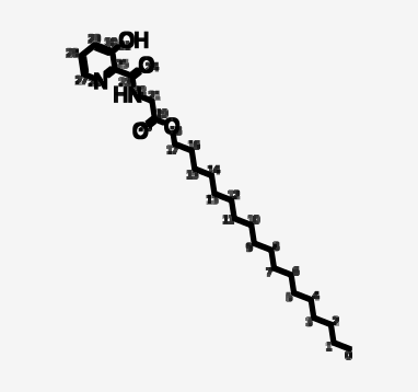 CCCCCCCCCCCCCCCCCCOC(=O)CNC(=O)c1ncccc1O